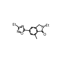 CCc1noc(-c2cc(C)c3c(c2)CN(CC)C3=O)n1